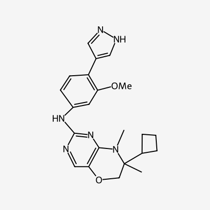 COc1cc(Nc2ncc3c(n2)N(C)C(C)(C2CCC2)CO3)ccc1-c1cn[nH]c1